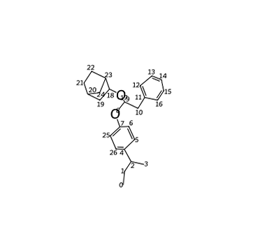 CCC(C)c1ccc(OC(Cc2ccccc2)OC2CC3CCC2C3)cc1